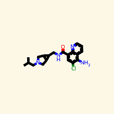 CC(C)CN1CC2C(CNC(=O)c3cc(Cl)c(N)c4cccnc34)C2C1